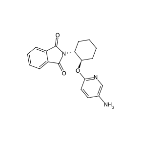 Nc1ccc(O[C@@H]2CCCC[C@H]2N2C(=O)c3ccccc3C2=O)nc1